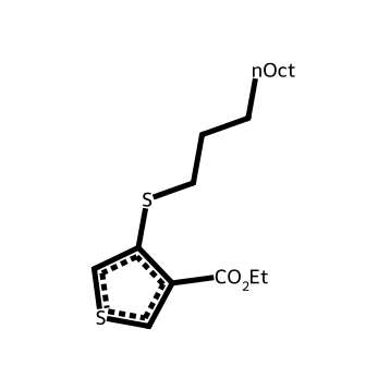 CCCCCCCCCCCSc1cscc1C(=O)OCC